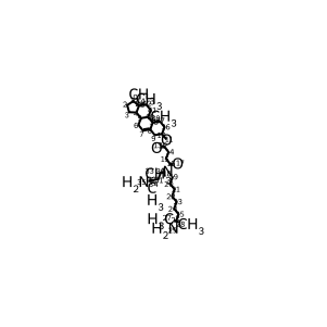 CC1CCC2C3CC=C4CC(OC(=O)CCC(=O)N(CCCCCCCC(C)(C)N)CCC(C)(C)N)CCC4(C)C3CCC12C